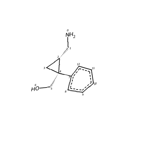 NC[C@H]1C[C@]1(CO)c1ccccc1